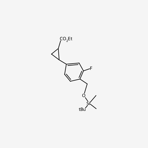 CCOC(=O)C1CC1c1ccc(CO[Si](C)(C)C(C)(C)C)c(F)c1